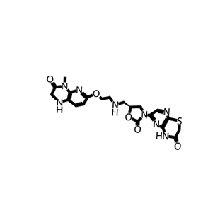 CN1C(=O)CNc2ccc(OCCNC[C@H]3CN(c4cnc5c(n4)NC(=O)CS5)C(=O)O3)nc21